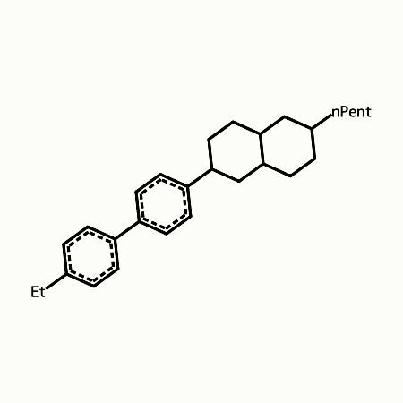 CCCCCC1CCC2CC(c3ccc(-c4ccc(CC)cc4)cc3)CCC2C1